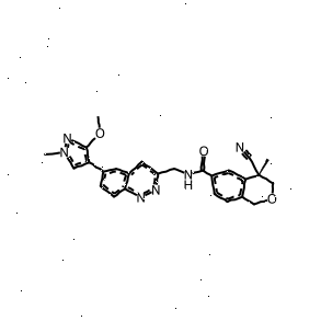 COc1nn(C)cc1-c1ccc2nnc(CNC(=O)c3ccc4c(c3)[C@](C)(C#N)COC4)cc2c1